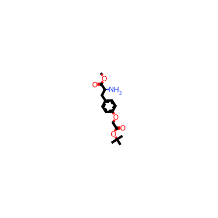 COC(=O)[C@@H](N)Cc1ccc(OCC(=O)OC(C)(C)C)cc1